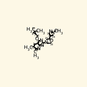 Cc1cc2c(OCC3CC3(C)C)nc(N3CCOC(c4cnn(C)c4)C3)nc2nc1C